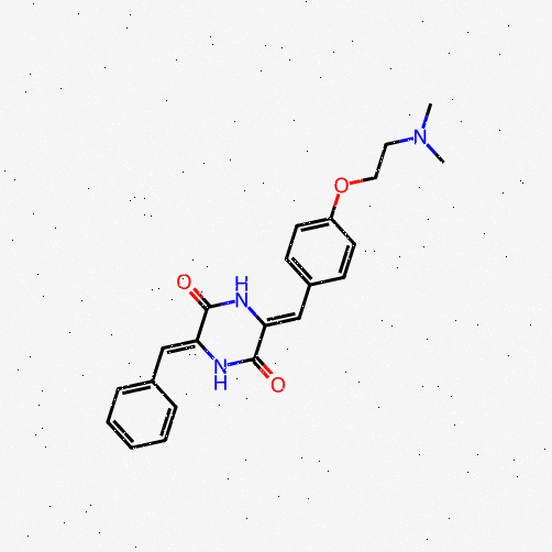 CN(C)CCOc1ccc(C=c2[nH]c(=O)c(=Cc3ccccc3)[nH]c2=O)cc1